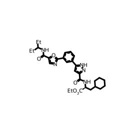 CCOC(=O)[C@H](CC1CCCCC1)NC(=O)c1cc(-c2cccc(-c3ncc(C(=O)NC(CC)CC)o3)c2)[nH]n1